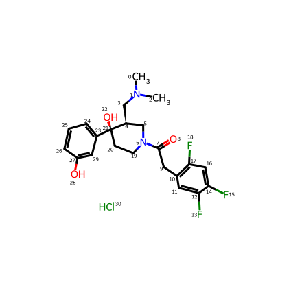 CN(C)C[C@H]1CN(C(=O)Cc2cc(F)c(F)cc2F)CC[C@]1(O)c1cccc(O)c1.Cl